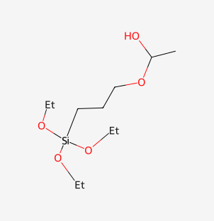 CCO[Si](CCCOC(C)O)(OCC)OCC